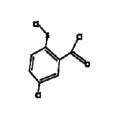 O=C(Cl)c1cc(Cl)ccc1SCl